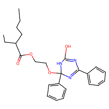 CCCCC(CC)C(=O)OCCOC1(c2ccccc2)N=C(c2ccccc2)N=C(O)N1